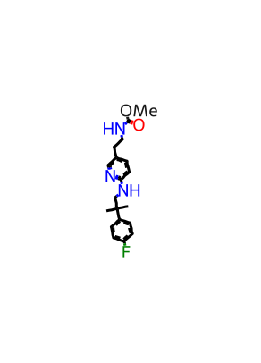 COC(=O)NCCc1ccc(NCC(C)(C)c2ccc(F)cc2)nc1